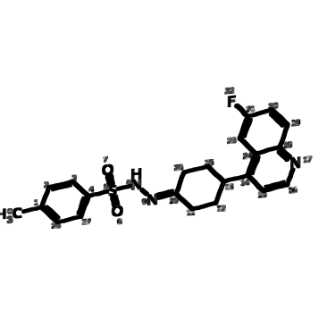 Cc1ccc(S(=O)(=O)NN=C2CCC(c3ccnc4ccc(F)cc34)CC2)cc1